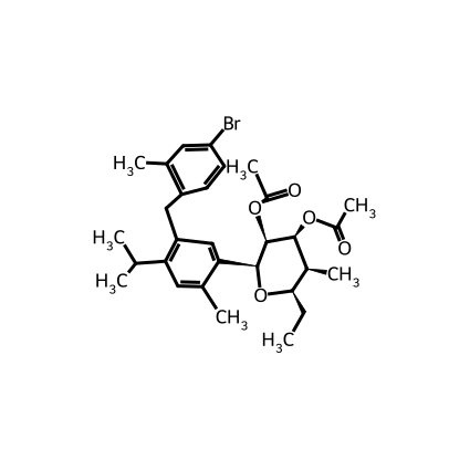 CC[C@H]1O[C@@H](c2cc(Cc3ccc(Br)cc3C)c(C(C)C)cc2C)[C@@H](OC(C)=O)[C@@H](OC(C)=O)[C@H]1C